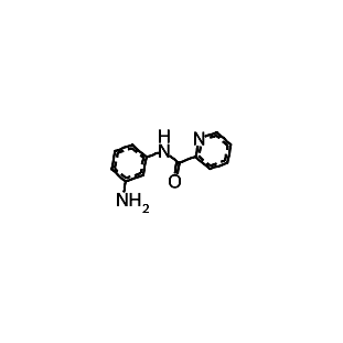 Nc1cccc(NC(=O)c2ccccn2)c1